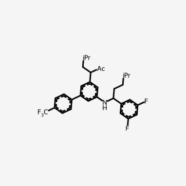 CC(=O)C(CC(C)C)c1cc(NC(CCC(C)C)c2cc(F)cc(F)c2)cc(-c2ccc(C(F)(F)F)cc2)c1